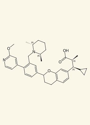 COc1cc(-c2ccc(C3CCc4ccc([C@H](C5CC5)[C@H](C)C(=O)O)cc4O3)cc2CN2[C@H](C)CCC[C@H]2C)ccn1